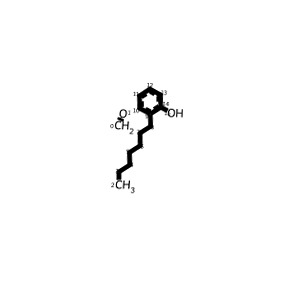 C=O.CCCCCCCc1ccccc1O